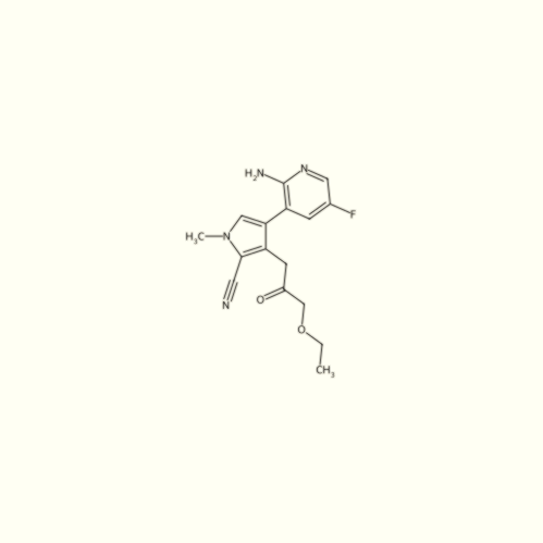 CCOCC(=O)Cc1c(-c2cc(F)cnc2N)cn(C)c1C#N